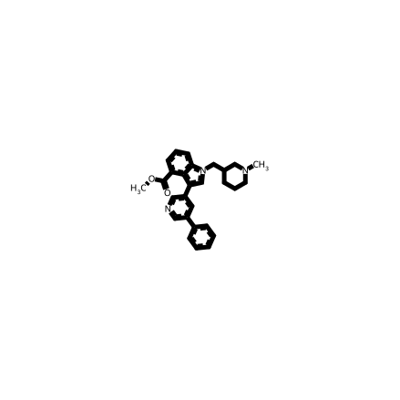 COC(=O)c1cccc2c1c(-c1cncc(-c3ccccc3)c1)cn2CC1CCCN(C)C1